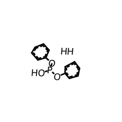 OP(Oc1ccccc1)Oc1ccccc1.[HH]